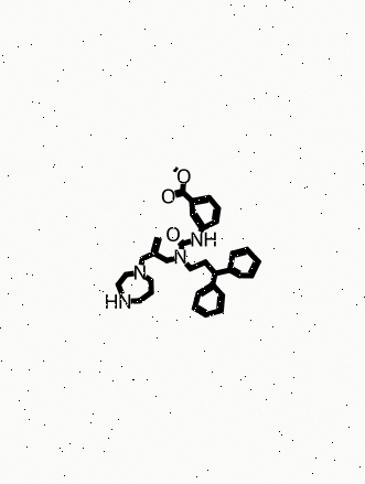 C=C(CN1CCCNCC1)CN(CCC(c1ccccc1)c1ccccc1)C(=O)Nc1cccc(C(=O)OC)c1